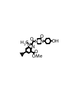 COC(=O)c1cc(C2CC2)cc2c1nc(C(=O)N1CCN(C3CCC(O)CC3)C(=O)C1)n2C